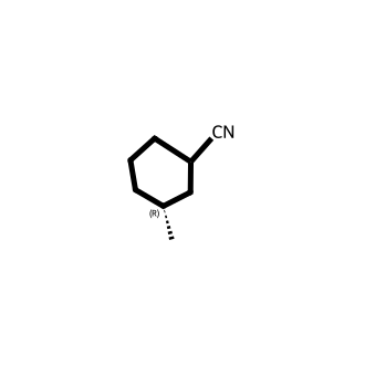 C[C@@H]1CCCC(C#N)C1